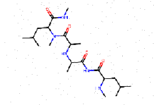 CNC(=O)C(CC(C)C)N(C)C(=O)C(C)NC(C)C(=O)NC(=O)C(CC(C)C)NC